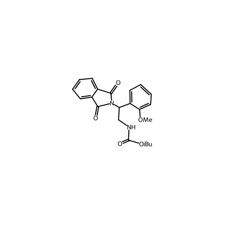 COc1ccccc1C(CNC(=O)OCC(C)C)N1C(=O)c2ccccc2C1=O